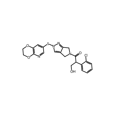 O=C(C(CO)c1ccccc1Cl)N1Cc2cn(Sc3cnc4c(c3)OCCO4)nc2C1